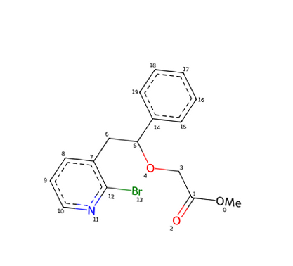 COC(=O)COC(Cc1cccnc1Br)c1ccccc1